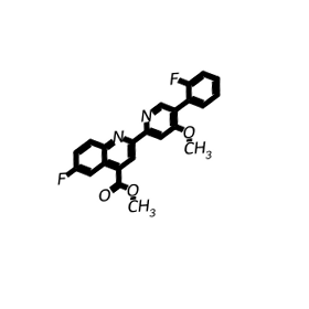 COC(=O)c1cc(-c2cc(OC)c(-c3ccccc3F)cn2)nc2ccc(F)cc12